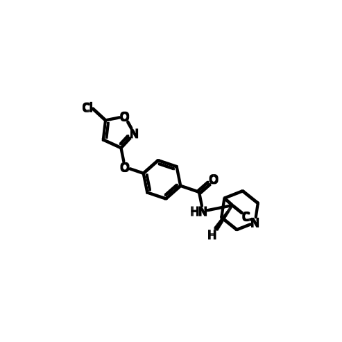 O=C(N[C@H]1CN2CCC1CC2)c1ccc(Oc2cc(Cl)on2)cc1